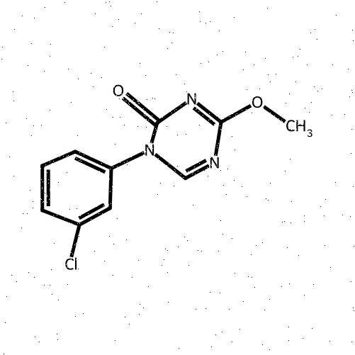 COc1ncn(-c2cccc(Cl)c2)c(=O)n1